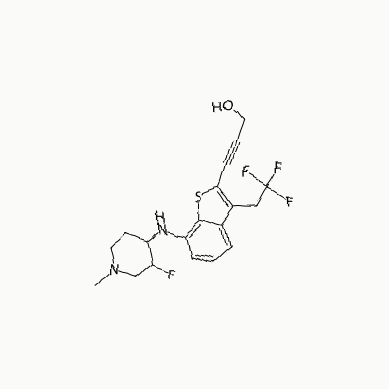 CN1CCC(Nc2cccc3c(CC(F)(F)F)c(C#CCO)sc23)C(F)C1